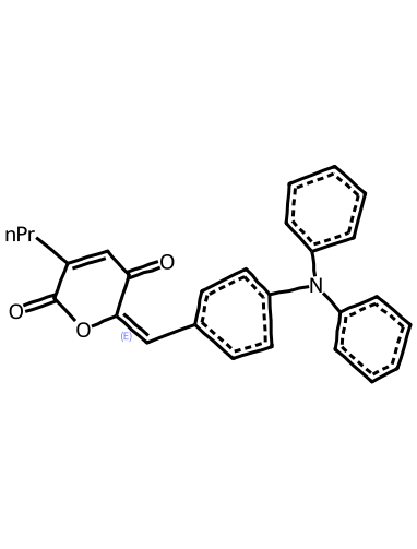 CCCC1=CC(=O)/C(=C\c2ccc(N(c3ccccc3)c3ccccc3)cc2)OC1=O